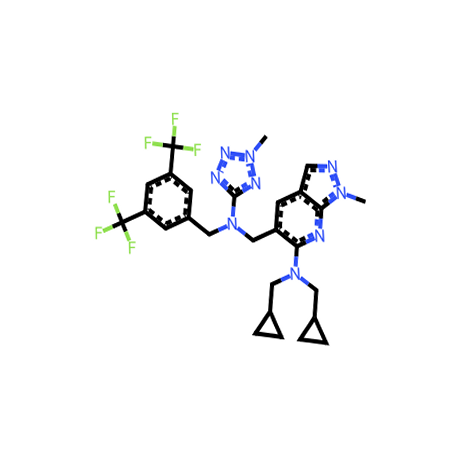 Cn1nnc(N(Cc2cc(C(F)(F)F)cc(C(F)(F)F)c2)Cc2cc3cnn(C)c3nc2N(CC2CC2)CC2CC2)n1